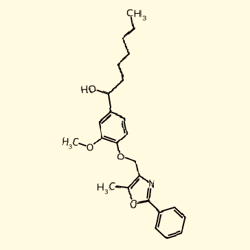 CCCCCCC(O)c1ccc(OCc2nc(-c3ccccc3)oc2C)c(OC)c1